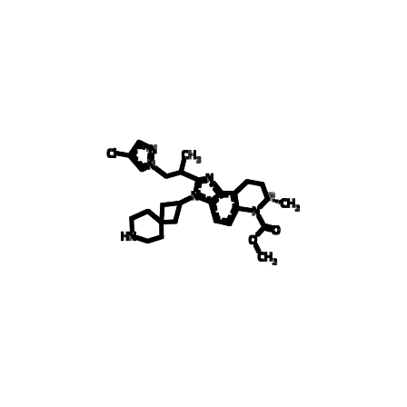 COC(=O)N1c2ccc3c(nc(C(C)Cn4cc(Cl)cn4)n3C3CC4(CCNCC4)C3)c2CC[C@@H]1C